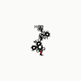 CCCCC1(CC)C(=O)Sc2cc(OCC(=O)N[C@@H](C(=O)NCCS(=O)(=O)O)c3ccccc3)c(SC)cc2N(c2ccccc2)C1=O